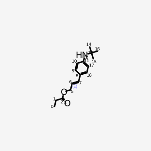 CCC(=O)OC/C=C/c1ccc(NC(C)(C)C)cc1